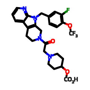 O=C(O)OC1CCN(CC(=O)N2CCc3c(n(Cc4ccc(OC(F)(F)F)c(F)c4)c4ncccc34)C2)CC1